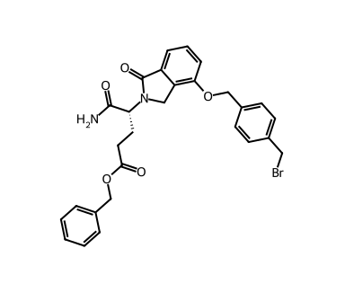 NC(=O)[C@@H](CCC(=O)OCc1ccccc1)N1Cc2c(OCc3ccc(CBr)cc3)cccc2C1=O